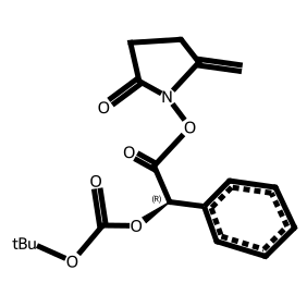 C=C1CCC(=O)N1OC(=O)[C@H](OC(=O)OC(C)(C)C)c1ccccc1